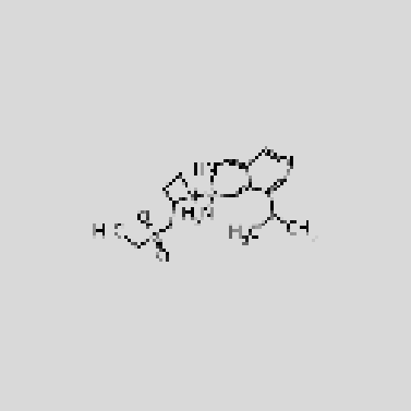 CCS(=O)(=O)CC1CCN1C1(N)C=c2c(C(C)C)cncc2=CN1